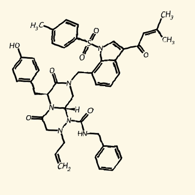 C=CCN1CC(=O)N2[C@@H](Cc3ccc(O)cc3)C(=O)N(Cc3cccc4c(C(=O)C=C(C)C)cn(S(=O)(=O)c5ccc(C)cc5)c34)C[C@@H]2N1C(=O)NCc1ccccc1